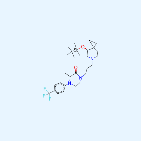 CC1C(=O)N(CCCN2CCC3(CC3)[C@H](O[Si](C)(C)C(C)(C)C)C2)CCN1c1ccc(C(F)(F)F)cc1